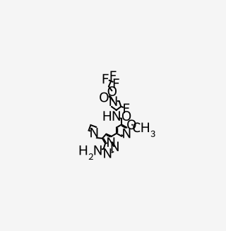 COc1ncc(-c2cc(CN3CCC3)c3c(N)ncnn23)cc1C(=O)NC1CN(C(=O)OCC(F)(F)F)CC1F